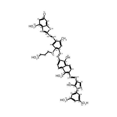 Cc1cc(N=Nc2ccc3c(S(=O)(=O)O)c(N=Nc4cnn(-c5cc(S(=O)(=O)O)cc(S(=O)(=O)O)c5)c4O)ccc3c2O)c(OCCCS(=O)(=O)O)cc1N=Nc1nc2c(S(=O)(=O)O)cc(Cl)cc2s1